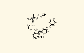 Nc1nccn2c(C3CCCCC3)nc(-c3cccc(OCc4ccccc4)c3)c12.O=C(O)NCCCO